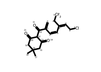 C=C(/C=C\C(=C/CCl)CC(F)(F)F)C(=O)C1C(=O)CC(C)(C)CC1=O